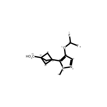 Cn1ncc(OC(F)F)c1C12CC(C(=O)O)(C1)C2